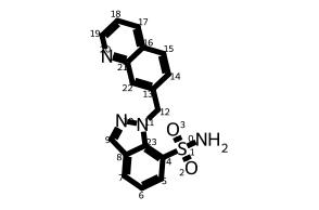 NS(=O)(=O)c1cccc2cnn(Cc3ccc4cccnc4c3)c12